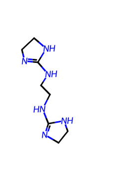 C1CNC(NCCNC2=NCCN2)=N1